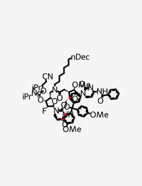 CCCCCCCCCCCCCCCCCN(C[C@H]1O[C@@H](n2ccc(=O)[nH]c2=O)[C@H](F)[C@@H]1OP(OCCC#N)N(C(C)C)C(C)C)C(=O)C[C@H]1[C@@H](OC)[C@H](n2ccc(NC(=O)c3ccccc3)nc2=O)O[C@@H]1COC(c1ccccc1)(c1ccc(OC)cc1)c1ccc(OC)cc1